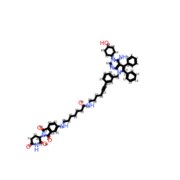 N=c1c2c(-c3ccccc3)c(-c3ccccc3)n(Cc3cccc(C#CCCCCNC(=O)CCCCCCNc4ccc5c(c4)C(=O)N(C4CCC(=O)NC4=O)C5=O)c3)c2ncn1C1CCC(O)CC1